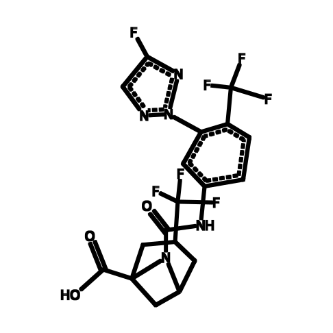 O=C(Nc1ccc(C(F)(F)F)c(-n2ncc(F)n2)c1)N1C2CC(C(F)(F)F)CC1(C(=O)O)C2